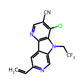 C=Cc1cc2c3ncc(C#N)c(Cl)c3n(CC(F)(F)F)c2cn1